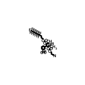 CC1=C(OC(=O)OCCC#N)C(c2cccc([N+](=O)[O-])c2)C(OC(=O)OCCCC(F)(F)C(F)(F)C(F)(F)C(F)(F)C(F)(F)C(F)(F)F)=C(C)N1